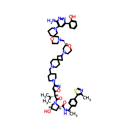 Cc1ncsc1-c1ccc([C@H](C)NC(=O)[C@@H]2C[C@@H](O)CN2C(=O)[C@@H](c2cc(N3CCC(CN4CCC5(CC4)CC(N4CCO[C@@H](CN6CCOC7(CCCN(c8cc(-c9ccccc9O)nnc8N)C7)C6)C4)C5)CC3)no2)C(C)C)cc1